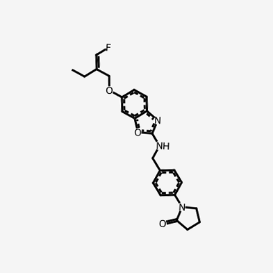 CC/C(=C/F)COc1ccc2nc(NCc3ccc(N4CCCC4=O)cc3)oc2c1